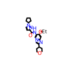 CCOc1cc2nc(C3CCOCC3)cn2cc1NC(=O)c1ccn(C2CCCC2)n1